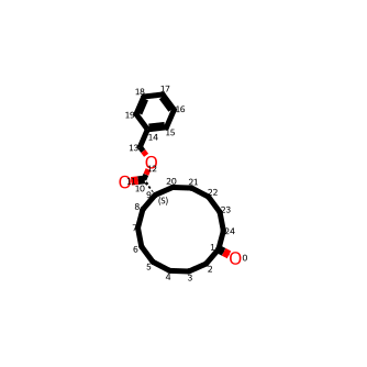 O=C1CCCCCCC[C@H](C(=O)OCc2ccccc2)CCCCC1